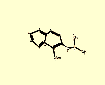 CSc1c(OB(O)O)ccc2ccccc12